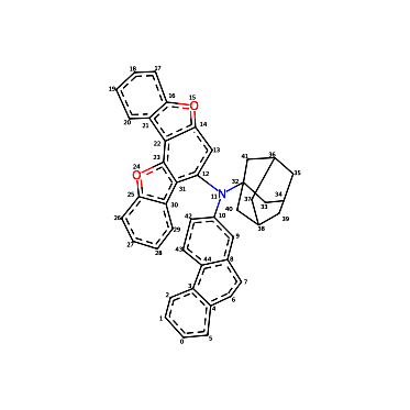 c1ccc2c(c1)ccc1cc(N(c3cc4oc5ccccc5c4c4oc5ccccc5c34)C34CC5CC(CC(C5)C3)C4)ccc12